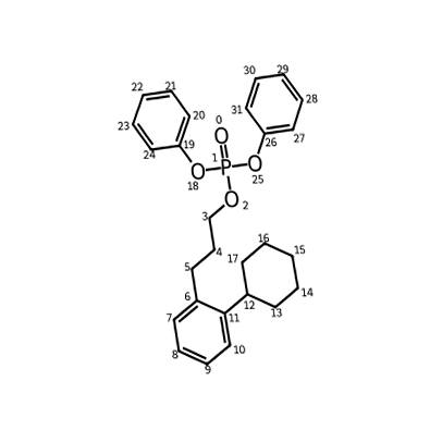 O=P(OCCCc1ccccc1C1CCCCC1)(Oc1ccccc1)Oc1ccccc1